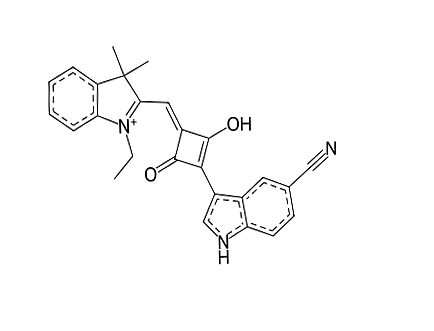 CC[N+]1=C(/C=C2\C(=O)C(c3c[nH]c4ccc(C#N)cc34)=C2O)C(C)(C)c2ccccc21